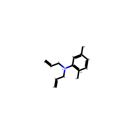 C=CCN(CC=C)c1cc(C)ccc1C